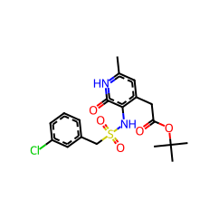 Cc1cc(CC(=O)OC(C)(C)C)c(NS(=O)(=O)Cc2cccc(Cl)c2)c(=O)[nH]1